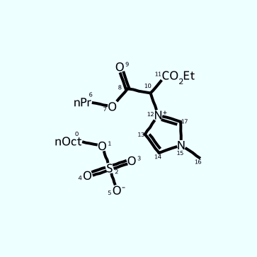 CCCCCCCCOS(=O)(=O)[O-].CCCOC(=O)C(C(=O)OCC)[n+]1ccn(C)c1